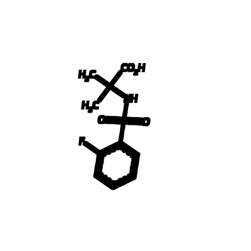 CC(C)(NS(=O)(=O)c1ccccc1F)C(=O)O